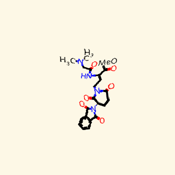 COC(=O)C(CCN1C(=O)CC[C@H](N2C(=O)c3ccccc3C2=O)C1=O)NC(=O)CN(C)C